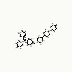 c1ccc(-c2ccc(-c3ccc(Sc4ccc([S+](c5ccccc5)c5ccccc5)cc4)cc3)cc2)cc1